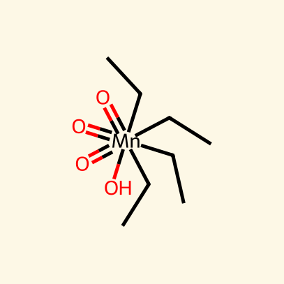 C[CH2][Mn](=[O])(=[O])(=[O])([OH])([CH2]C)([CH2]C)[CH2]C